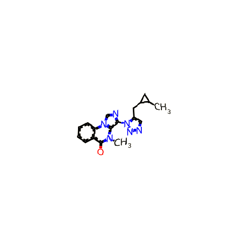 CC1CC1Cc1cnnn1-c1ncn2c3ccccc3c(=O)n(C)c12